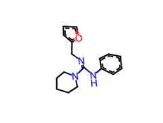 c1ccc(NC(=NCc2ccco2)N2CCCCC2)cc1